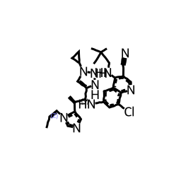 C=C(c1cncn1/C=C\C)[C@H](Nc1cc(Cl)c2ncc(C#N)c(NCC(C)(C)C)c2c1)C1=CN(C2CC2)NN1